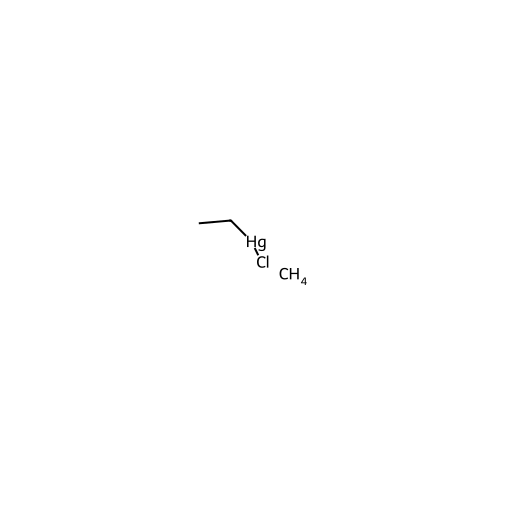 C.C[CH2][Hg][Cl]